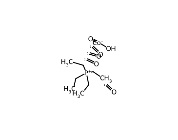 CC[P+](CC)(CC)CC.[C]=O.[C]=O.[C]=O.[C]=O.[O]=[Co-][OH]